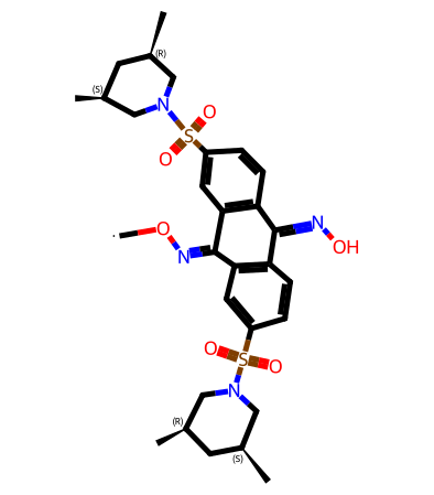 [CH2]ON=C1c2cc(S(=O)(=O)N3C[C@H](C)C[C@H](C)C3)ccc2C(=NO)c2ccc(S(=O)(=O)N3C[C@H](C)C[C@H](C)C3)cc21